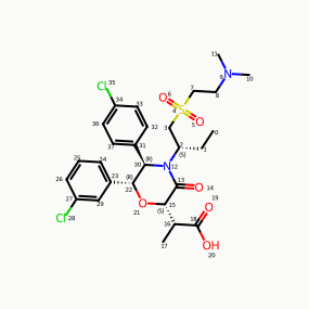 CC[C@@H](CS(=O)(=O)CCN(C)C)N1C(=O)[C@H](C(C)C(=O)O)O[C@H](c2cccc(Cl)c2)[C@H]1c1ccc(Cl)cc1